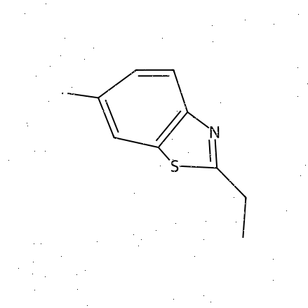 [CH2]c1ccc2nc(CC)sc2c1